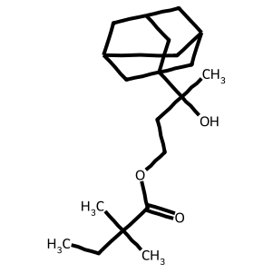 CCC(C)(C)C(=O)OCCC(C)(O)C12CC3CC(CC(C3)C1)C2